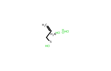 C=C[CH2][Ti].Cl.Cl.Cl.Cl.[AlH3]